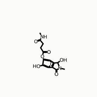 CNC(=O)CCC(=O)Oc1c(O)c2oc1c1c2C(=O)N(C)C1O